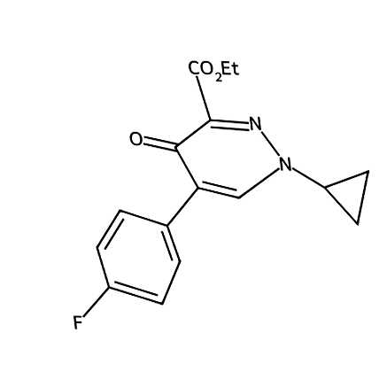 CCOC(=O)c1nn(C2CC2)cc(-c2ccc(F)cc2)c1=O